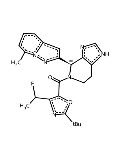 Cc1cccc2cc([C@H]3c4nc[nH]c4CCN3C(=O)c3oc(C(C)(C)C)nc3C(C)F)nn12